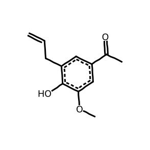 C=CCc1cc(C(C)=O)cc(OC)c1O